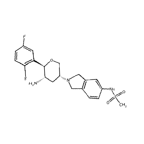 CS(=O)(=O)Nc1ccc2c(c1)CN([C@H]1CO[C@H](c3cc(F)ccc3F)[C@@H](N)C1)C2